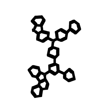 C1=Cc2c(c3c4ccccc4ccc3n2-c2cc(-c3ccccc3)cc(-c3ccc(N(c4ccc(-c5ccccc5)cc4)c4ccc5oc6ccccc6c5c4)cc3)c2)CC1